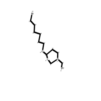 C[C](C)CN1CCC(OCCCCCCBr)CC1